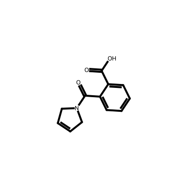 O=C(O)c1ccccc1C(=O)N1CC=CC1